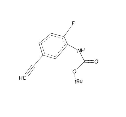 C#Cc1ccc(F)c(NC(=O)OC(C)(C)C)c1